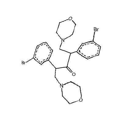 O=C(C(CN1CCOCC1)c1cccc(Br)c1)C(CN1CCOCC1)c1cccc(Br)c1